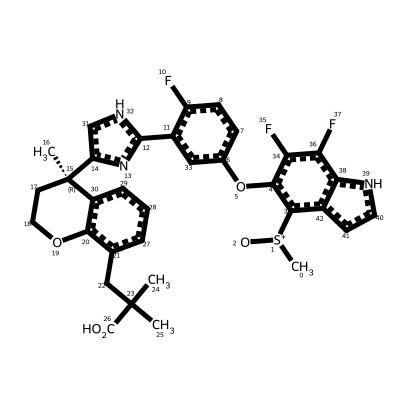 C[S+]([O-])c1c(Oc2ccc(F)c(-c3nc([C@]4(C)CCOc5c(CC(C)(C)C(=O)O)cccc54)c[nH]3)c2)c(F)c(F)c2[nH]ccc12